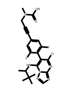 CC(Nc1c(-c2c(F)cc(C#CCN(C)C(=O)O)cc2F)c(Cl)nc2ncnn12)C(C)(C)C